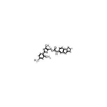 Cc1ccc(-c2nc(C)c(COC(=O)Nc3ccc4c(c3)nc3n4CCC3)s2)c(C)c1